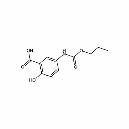 CCCOC(=O)Nc1ccc(O)c(C(=O)O)c1